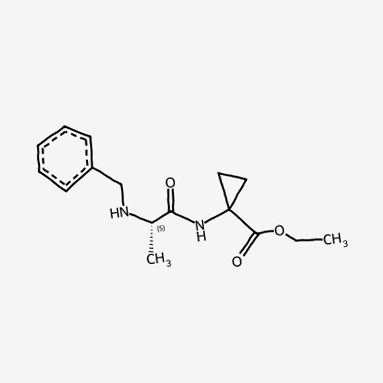 CCOC(=O)C1(NC(=O)[C@H](C)NCc2ccccc2)CC1